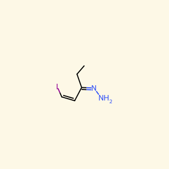 CCC(/C=C\I)=N/N